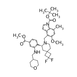 COC(=O)c1ccc([C@@H]2CC3(CCN2Cc2c(OC)cc(C)c4c2ccn4C(=O)OC(C)(C)C)CC(F)(F)C3)c(NCC2CCOCC2)c1